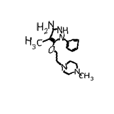 CC1=C(OCCN2CCN(C)CC2)N(c2ccccc2)NC1N